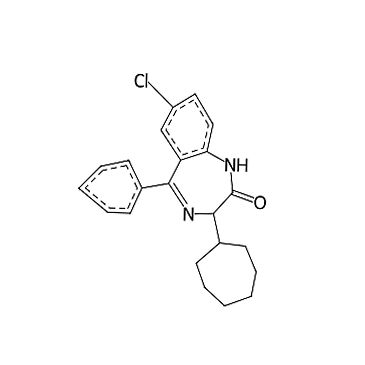 O=C1Nc2ccc(Cl)cc2C(c2ccccc2)=NC1C1CCCCCC1